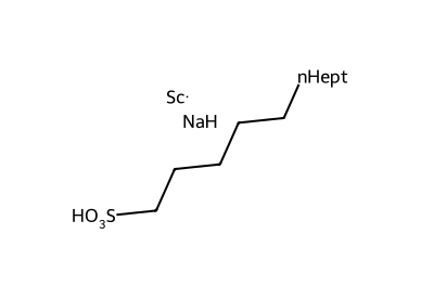 CCCCCCCCCCCCS(=O)(=O)O.[NaH].[Sc]